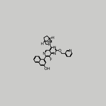 Oc1cc(-c2ncc3c(N4C[C@H]5CC[C@@H](C4)N5)nc(OCc4cccnc4)nc3c2F)c2ccccc2c1